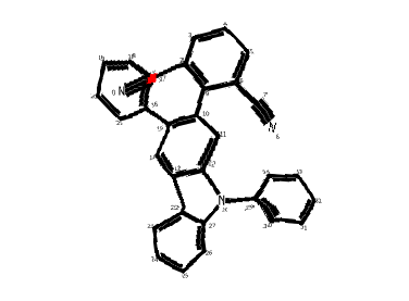 N#Cc1cccc(C#N)c1-c1cc2c(cc1-c1ccccc1)c1ccccc1n2-c1ccccc1